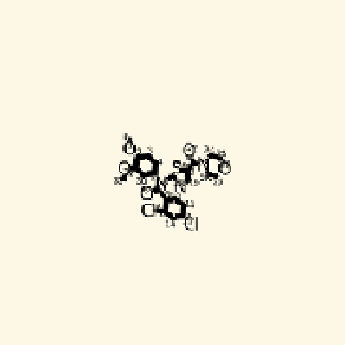 COc1ccc(N(C(=O)c2ccc(Cl)cc2Cl)c2ncc(C(=O)N3CCOCC3)s2)cc1OC